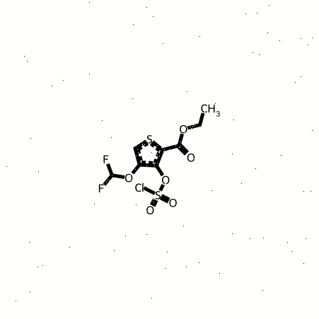 CCOC(=O)c1scc(OC(F)F)c1OS(=O)(=O)Cl